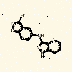 CCc1noc2ccc(Nc3n[nH]c4cccnc34)cc12